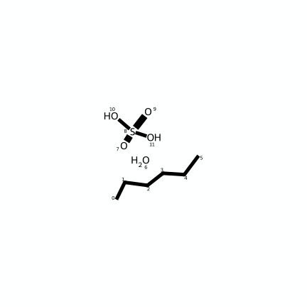 CCCCCC.O.O=S(=O)(O)O